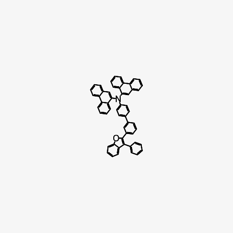 c1ccc(-c2c(-c3cccc(-c4ccc(N(c5cc6ccccc6c6ccccc56)c5cc6ccccc6c6ccccc56)cc4)c3)oc3ccccc23)cc1